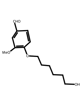 COc1cc(C=O)ccc1OCCCCCCO